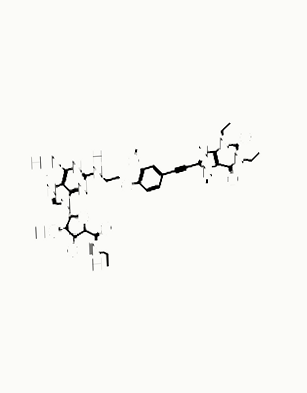 CCNC(=O)C1O[C@@H](n2cnc3c(N)nc(NCCOc4ccc(C#Cc5nc6c(c(=O)n(CC)c(=O)n6CC)n5C)cc4OC)nc32)[C@H](O)[C@@H]1O